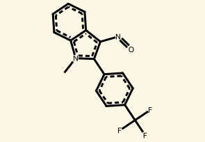 Cn1c(-c2ccc(C(F)(F)F)cc2)c(N=O)c2ccccc21